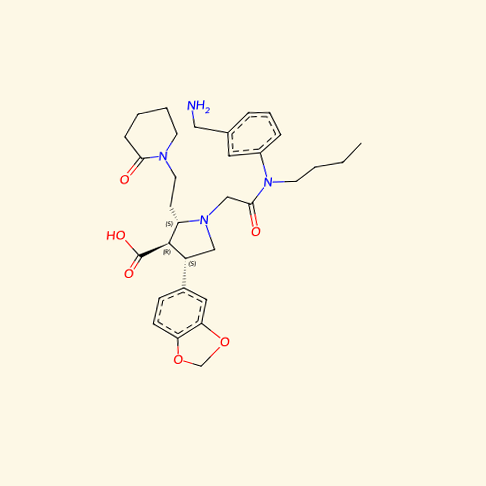 CCCCN(C(=O)CN1C[C@H](c2ccc3c(c2)OCO3)[C@@H](C(=O)O)[C@@H]1CCN1CCCCC1=O)c1cccc(CN)c1